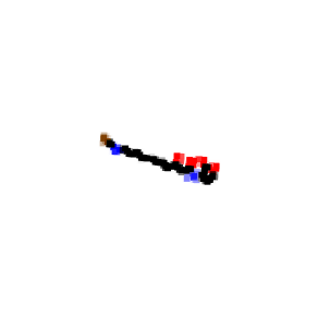 O=C(CCCCCCCCN=C=S)CC(=O)NC1CCOC1=O